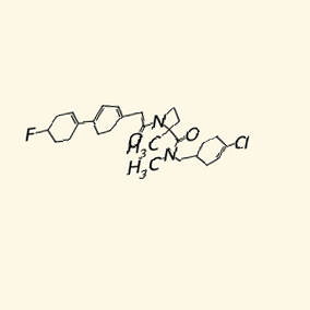 CN(CC1CC=C(Cl)CC1)C(=O)C1(C)CCN1C(=O)CC1=CC=C(C2=CCC(F)CC2)CC1